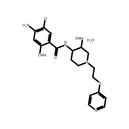 COc1cc(N)c(Cl)cc1C(=O)NC1CCN(CCSc2ccncc2)CC1OC.O